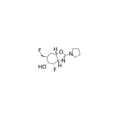 O[C@@H]1[C@@H](CF)C[C@@H]2OC(N3CCCC3)=N[C@@H]2[C@@H]1F